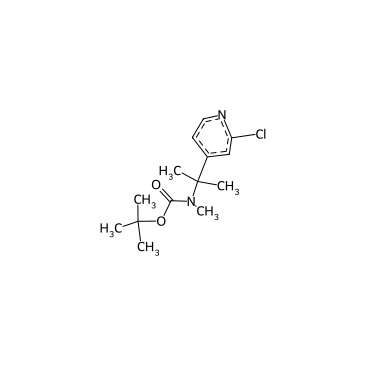 CN(C(=O)OC(C)(C)C)C(C)(C)c1ccnc(Cl)c1